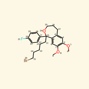 COc1cc2c(cc1OC)C(CCCCCBr)(c1ccc(F)cc1)OCCC2